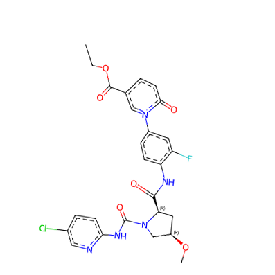 CCOC(=O)c1ccc(=O)n(-c2ccc(NC(=O)[C@H]3C[C@@H](OC)CN3C(=O)Nc3ccc(Cl)cn3)c(F)c2)c1